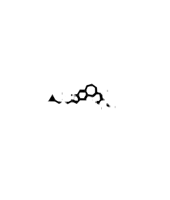 Cl.Cn1c(CNCC2CC2)cc2cc3c(cc21)CCCc1c-3[nH]c(=O)c(OC(=O)O)c1O